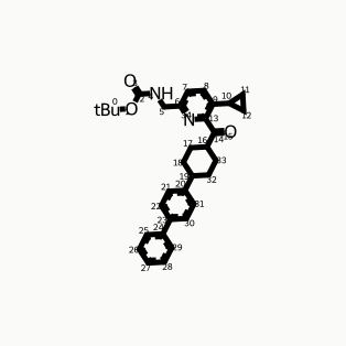 CC(C)(C)OC(=O)NCc1ccc(C2CC2)c(C(=O)C2CCC(c3ccc(-c4ccccc4)cc3)CC2)n1